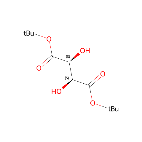 CC(C)(C)OC(=O)[C@@H](O)[C@H](O)C(=O)OC(C)(C)C